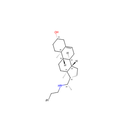 CC(C)CCN[C@@H](C)[C@H]1CC[C@H]2[C@@H]3CC=C4C[C@@H](O)CC[C@]4(C)[C@H]3CC[C@]12C